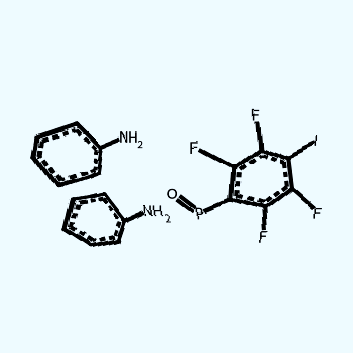 Nc1ccccc1.Nc1ccccc1.O=Pc1c(F)c(F)c(I)c(F)c1F